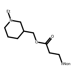 CCCCCCCCCCCC(=O)OCC1CCCN(CC)C1